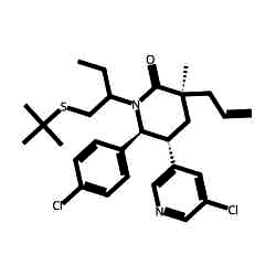 C=CC[C@@]1(C)C[C@H](c2cncc(Cl)c2)[C@@H](c2ccc(Cl)cc2)N(C(CC)CSC(C)(C)C)C1=O